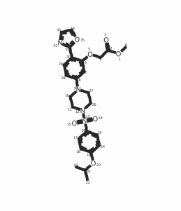 COC(=O)COc1cc(N2CCN(S(=O)(=O)c3ccc(OC(C)C)cc3)CC2)ccc1-c1ncco1